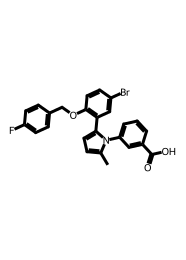 Cc1ccc(-c2cc(Br)ccc2OCc2ccc(F)cc2)n1-c1cccc(C(=O)O)c1